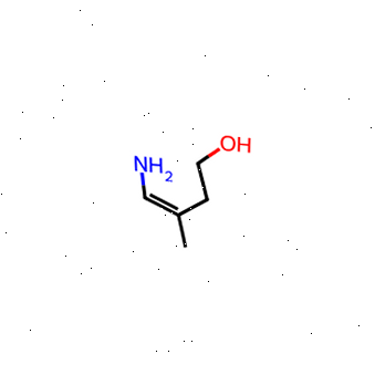 CC(=CN)CCO